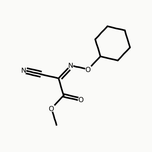 COC(=O)C(C#N)=NOC1CCCCC1